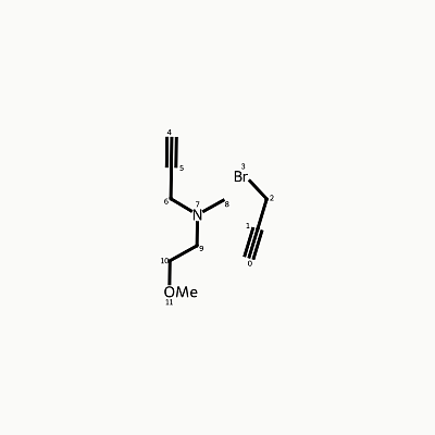 C#CCBr.C#CCN(C)CCOC